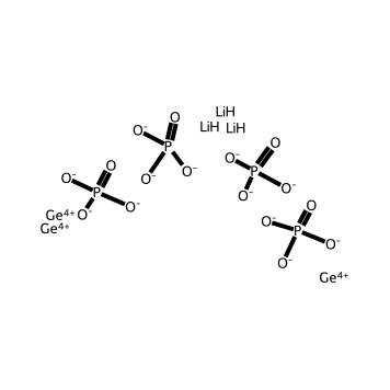 O=P([O-])([O-])[O-].O=P([O-])([O-])[O-].O=P([O-])([O-])[O-].O=P([O-])([O-])[O-].[Ge+4].[Ge+4].[Ge+4].[LiH].[LiH].[LiH]